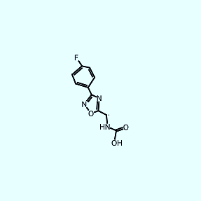 O=C(O)N[CH]c1nc(-c2ccc(F)cc2)no1